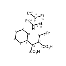 CC(C)CC(C(=O)O)C(C(=O)O)C1CCCCC1.CCNCC.CCNCC